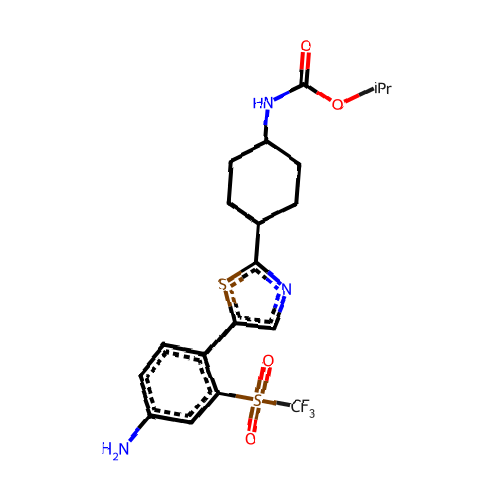 CC(C)OC(=O)NC1CCC(c2ncc(-c3ccc(N)cc3S(=O)(=O)C(F)(F)F)s2)CC1